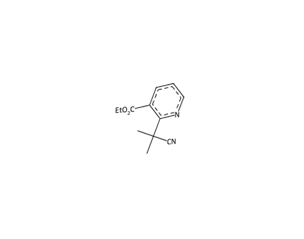 CCOC(=O)c1cccnc1C(C)(C)C#N